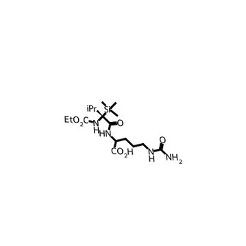 CCOC(=O)N[C@](C(=O)NC(CCCNC(N)=O)C(=O)O)(C(C)C)[Si](C)(C)C